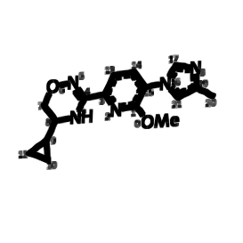 COc1nc(C2=NOCC(C3CC3)N2)ccc1-n1cnc(C)c1